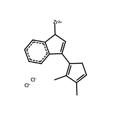 CC1=CCC(C2=C[CH]([Zr+2])c3ccccc32)=C1C.[Cl-].[Cl-]